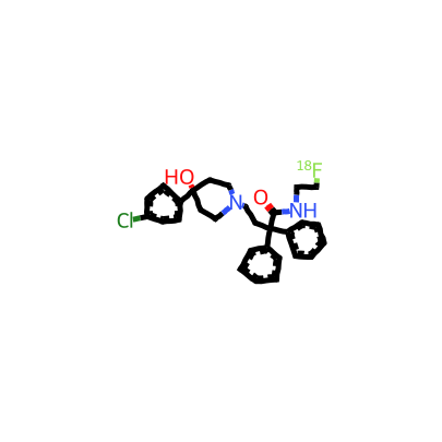 O=C(NCC[18F])C(CCN1CCC(O)(c2ccc(Cl)cc2)CC1)(c1ccccc1)c1ccccc1